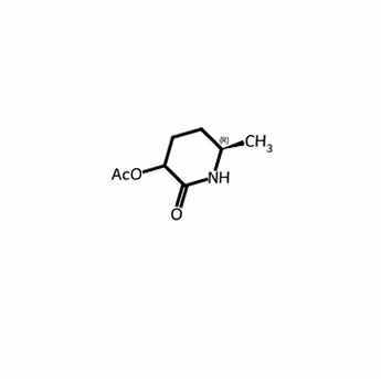 CC(=O)OC1CC[C@@H](C)NC1=O